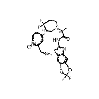 C[C@@H](C(=O)Nc1nc2cc3c(cc2s1)OC(F)(F)O3)N1CCC(F)(F)[C@@H](c2cc[n+]([O-])c(CN)c2)C1